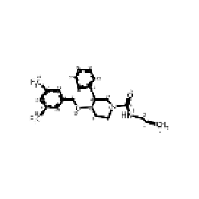 C=CCNC(=O)N1CCC(OCc2cc(C(F)(F)F)cc(C(F)(F)F)c2)C(c2ccccc2)C1